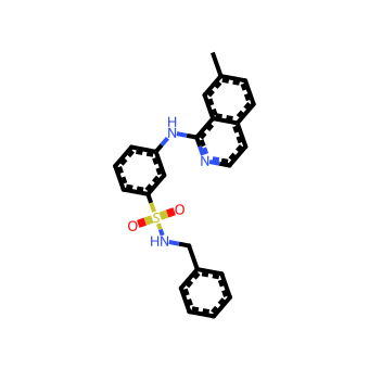 Cc1ccc2ccnc(Nc3cccc(S(=O)(=O)NCc4ccccc4)c3)c2c1